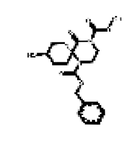 CC(C)(C)OC(=O)N1CCN(C(=O)OCc2ccccc2)[C@]2(CC[C@H](O)CC2)C1=O